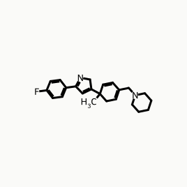 CC1(C2=CC(c3ccc(F)cc3)=NC2)C=CC(CN2CCCCC2)=CC1